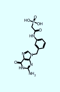 Nc1nc2c(ncn2Cc2cccc(NC(=O)CP(=O)(O)O)c2)c(=O)[nH]1